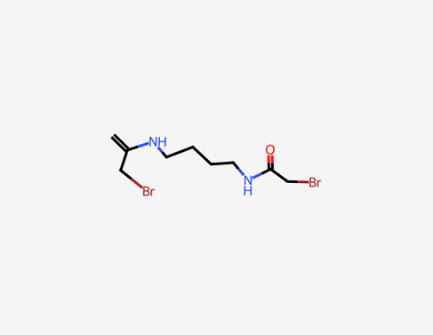 C=C(CBr)NCCCCNC(=O)CBr